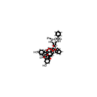 CC[C@@H]1C2C[C@H](O)CCC2(C)C2CCC3(C)C([C@@H](CCCNS(=O)(=O)c4ccccc4)C4CC5CCC(C4)C5[C@H](CCCN[SiH2]C(C)C)C4CCCC5[C@H](C(C)CC4)[C@H](O)CC4C[C@H](O)CCC45C)CCC3[C@@H]2[C@@H]1O